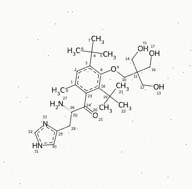 Cc1cc(C(C)(C)C)c(OCC(CO)(CO)CO)c(C(C)(C)C)c1C(=O)[C@@H](N)Cc1c[nH]cn1